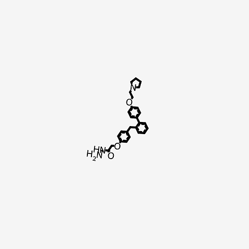 NNC(=O)COc1ccc(Cc2ccccc2-c2ccc(OCCN3CCCC3)cc2)cc1